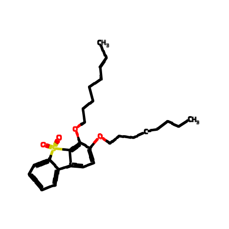 CCCCCCCCOc1ccc2c(c1OCCCCCCCC)S(=O)(=O)c1ccccc1-2